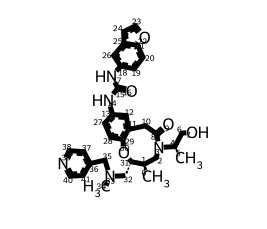 C[C@@H]1CN([C@@H](C)CO)C(=O)Cc2cc(NC(=O)Nc3ccc4occc4c3)ccc2O[C@H]1CN(C)Cc1ccncc1